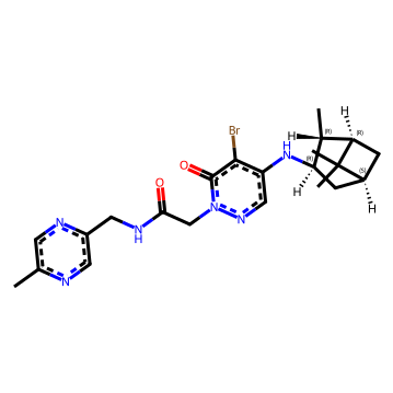 Cc1cnc(CNC(=O)Cn2ncc(N[C@@H]3C[C@@H]4C[C@H]([C@H]3C)C4(C)C)c(Br)c2=O)cn1